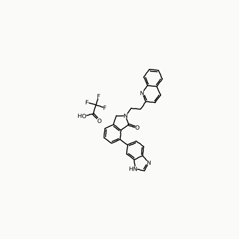 O=C(O)C(F)(F)F.O=C1c2c(cccc2-c2ccc3nc[nH]c3c2)CN1CCc1ccc2ccccc2n1